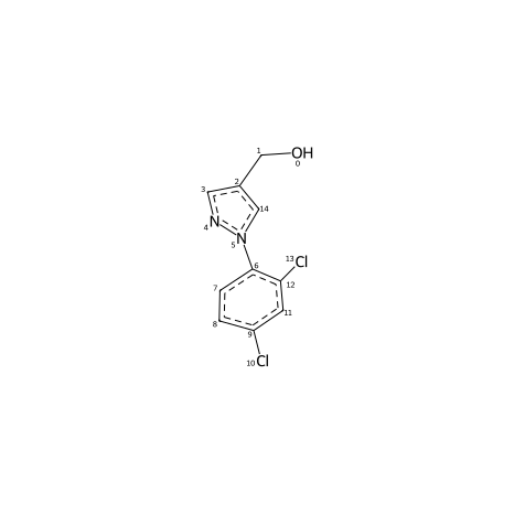 OCc1cnn(-c2ccc(Cl)cc2Cl)c1